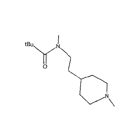 CN1CCC(CCN(C)C(=O)C(C)(C)C)CC1